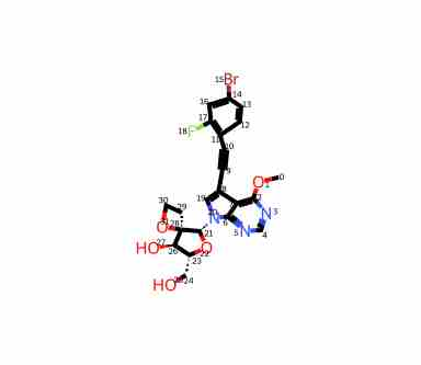 COc1ncnc2c1c(C#Cc1ccc(Br)cc1F)cn2[C@@H]1O[C@H](CO)[C@@H](O)[C@]12CCO2